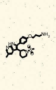 Cc1cnc2[nH]c(-c3ccc(OCCCN)cc3)c(C3CCCN(S(C)(=O)=O)C3)c2c1